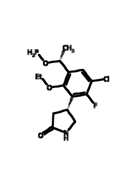 CCOc1c([C@@H](C)OP)cc(Cl)c(F)c1[C@@H]1CNC(=O)C1